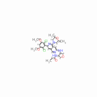 C=CC(=O)N[C@H]1COC[C@H]1Nc1cc2c(N3CC(C)OC(C)C3)nc(-c3c(Cl)c(OC)cc(OC)c3Cl)cc2cn1